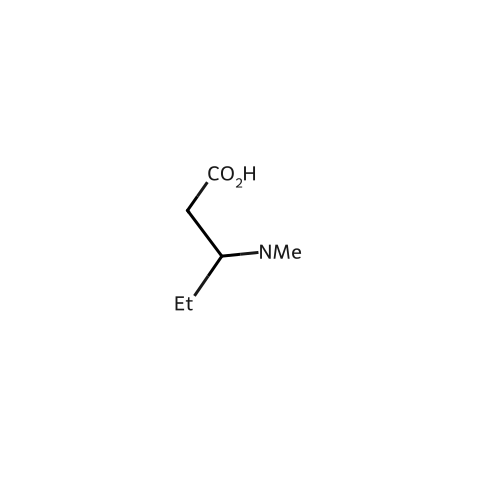 CCC(CC(=O)O)NC